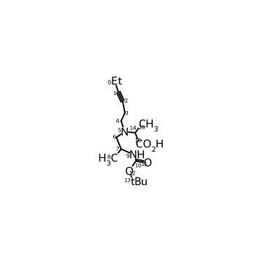 CCC#CCCN(CC(C)NC(=O)OC(C)(C)C)C(C)C(=O)O